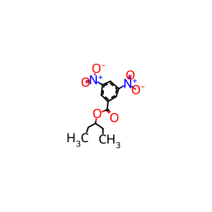 CCC(CC)OC(=O)c1cc([N+](=O)[O-])cc([N+](=O)[O-])c1